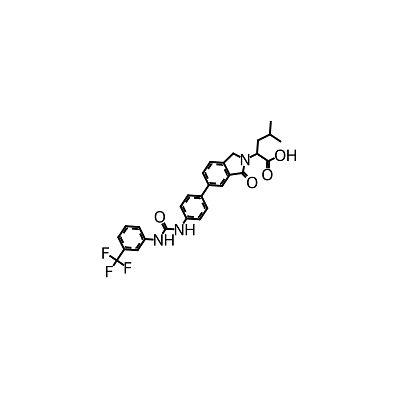 CC(C)CC(C(=O)O)N1Cc2ccc(-c3ccc(NC(=O)Nc4cccc(C(F)(F)F)c4)cc3)cc2C1=O